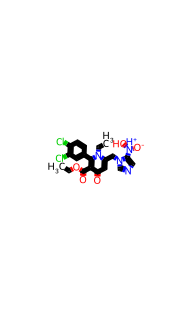 CCOC(=O)c1c(-c2ccc(Cl)c(Cl)c2)n(CC)c(Cn2cncc2[NH+]([O-])O)cc1=O